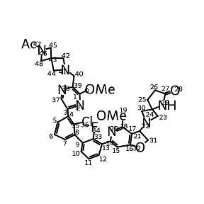 COc1nc(-c2cccc(-c3cccc(-c4cc5c(c(OC)n4)C(N4CC6(CCC(=O)N6)C4)CO5)c3F)c2Cl)cnc1CN1CC2(C1)CN(C(C)=O)C2